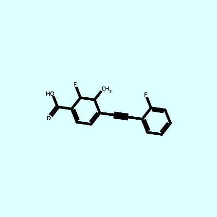 CC1C(C#Cc2ccccc2F)=CC=C(C(=O)O)C1F